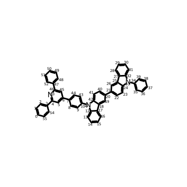 c1ccc(-c2cc(-c3ccc(-n4c5ccccc5c5cc(-c6ccc7c(c6)c6ccccc6n7-c6ccccc6)ccc54)cc3)cc(-c3ccccc3)n2)cc1